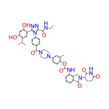 CCNC(=O)c1nnc(-c2cc(C(C)C)c(O)cc2O)n1-c1ccc(C(=O)N2CCN(c3ccc(OC(=O)Nc4cccc5c4CN(C4CCC(=O)NC4=O)C5=O)c(C)c3)CC2)cc1